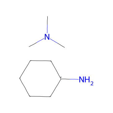 CN(C)C.N[C]1CCCCC1